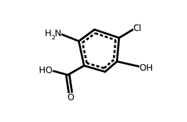 Nc1cc(Cl)c(O)cc1C(=O)O